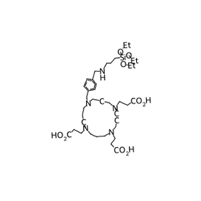 CCO[Si](CCCNCc1ccc(CN2CCCN(CCC(=O)O)CCCN(CCC(=O)O)CCCN(CCC(=O)O)CCC2)cc1)(OCC)OCC